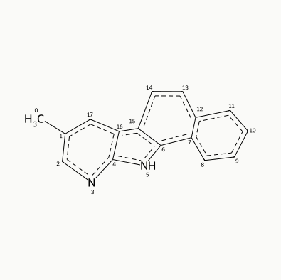 Cc1cnc2[nH]c3c4ccccc4ccc3c2c1